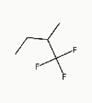 CC[C](C)C(F)(F)F